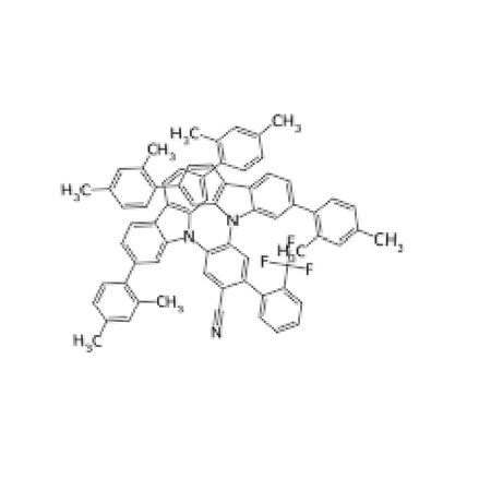 Cc1ccc(-c2ccc3c4ccc(-c5ccc(C)cc5C)cc4n(-c4cc(C#N)c(-c5ccccc5C(F)(F)F)cc4-n4c5cc(-c6ccc(C)cc6C)ccc5c5ccc(-c6ccc(C)cc6C)cc54)c3c2)c(C)c1